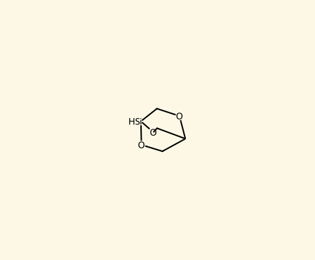 C1O[SiH]2COC1CO2